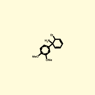 CCC1C=CC=CC1(N)c1ccc(OC)c(OC)c1